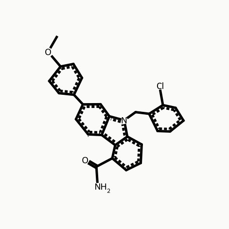 COc1ccc(-c2c[c]c3c4c(C(N)=O)cccc4n(Cc4ccccc4Cl)c3c2)cc1